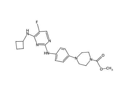 COC(=O)N1CCN(c2ccc(Nc3ncc(F)c(NC4CCC4)n3)cc2)CC1